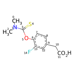 CN(C)C(=S)Oc1ccc(CC(=O)O)cc1F